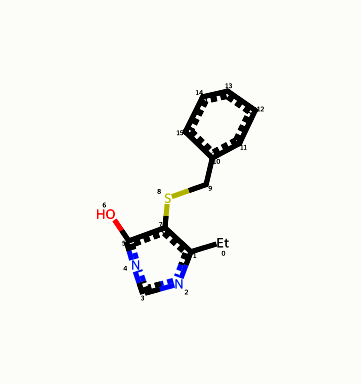 CCc1ncnc(O)c1SCc1ccccc1